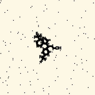 OCCC(c1ccc(C(F)(F)F)cc1)c1c[nH]c2c(C(F)(F)F)cccc12